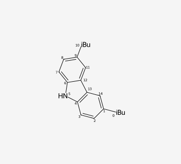 CCC(C)c1ccc2[nH]c3ccc(C(C)CC)cc3c2c1